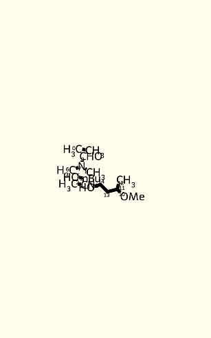 CC.CC#N.CCCCO.CN(C)C=O.COC(C)CCO